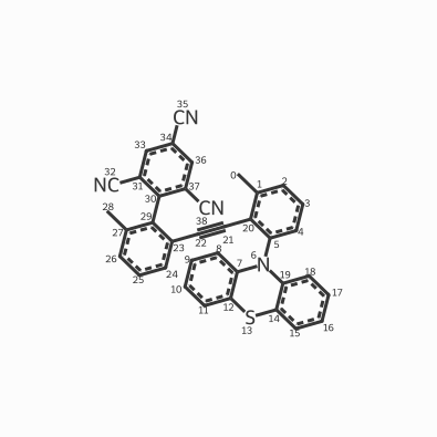 Cc1cccc(N2c3ccccc3Sc3ccccc32)c1C#Cc1cccc(C)c1-c1c(C#N)cc(C#N)cc1C#N